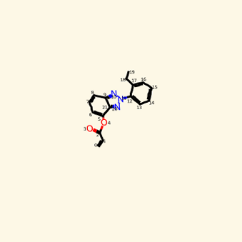 C=CC(=O)Oc1cccc2nn(-c3ccccc3CC)nc12